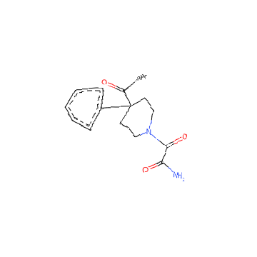 CCCC(=O)C1(c2ccccc2)CCN(C(=O)C(N)=O)CC1